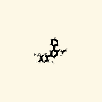 Cc1nc(-c2ccc(OC(F)F)c(-c3ccccc3)c2)c(C)nc1Cl